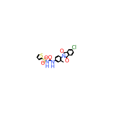 Cc1cc(NC(=O)NS(=O)(=O)c2cccs2)ccc1N1C(=O)c2ccc(Cl)cc2C1=O